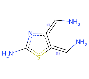 N/C=c1/nc(N)s/c1=C/N